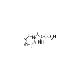 O=C(O)C1CN2CC=NC=C2N1